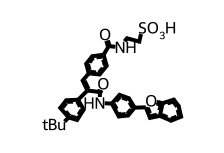 CC(C)(C)c1ccc(/C(=C/c2ccc(C(=O)NCCS(=O)(=O)O)cc2)C(=O)Nc2ccc(-c3cc4ccccc4o3)cc2)cc1